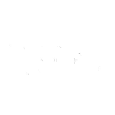 COCCN1C=C(CN2CC[C@@H]3CN(c4ncnc5sc(CC(F)(F)F)cc45)C[C@@H]3C2)CN1